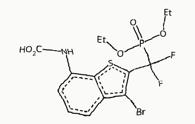 CCOP(=O)(OCC)C(F)(F)c1sc2c(NC(=O)O)cccc2c1Br